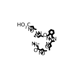 Cc1cc(-c2cnc3c4ccccc4c(OCc4cn(C)nn4)nn23)no1.Cc1cc(C(=O)C=[N+]=[N-])no1.Cc1cc(C(=O)O)no1